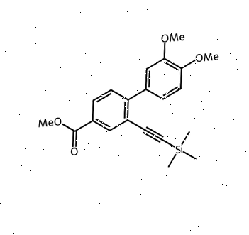 COC(=O)c1ccc(-c2ccc(OC)c(OC)c2)c(C#C[Si](C)(C)C)c1